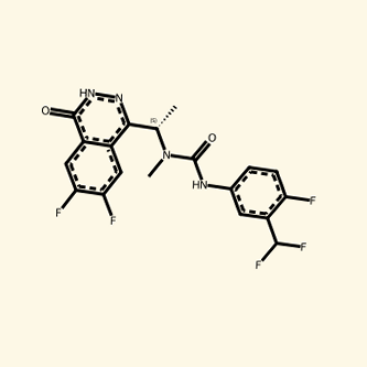 C[C@@H](c1n[nH]c(=O)c2cc(F)c(F)cc12)N(C)C(=O)Nc1ccc(F)c(C(F)F)c1